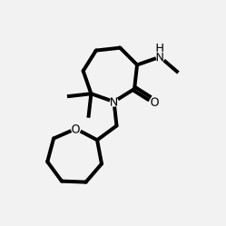 CNC1CCCC(C)(C)N(CC2CCCCCO2)C1=O